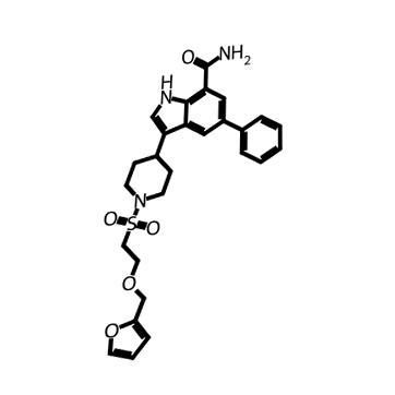 NC(=O)c1cc(-c2ccccc2)cc2c(C3CCN(S(=O)(=O)CCOCc4ccco4)CC3)c[nH]c12